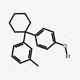 CCOc1ccc(C2(c3cccc(C)c3)CCCCC2)cc1